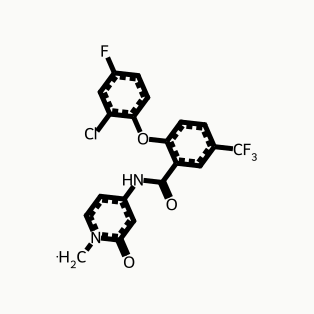 [CH2]n1ccc(NC(=O)c2cc(C(F)(F)F)ccc2Oc2ccc(F)cc2Cl)cc1=O